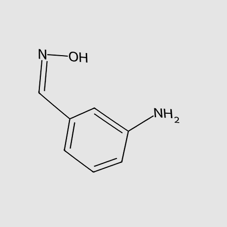 Nc1cccc(/C=N\O)c1